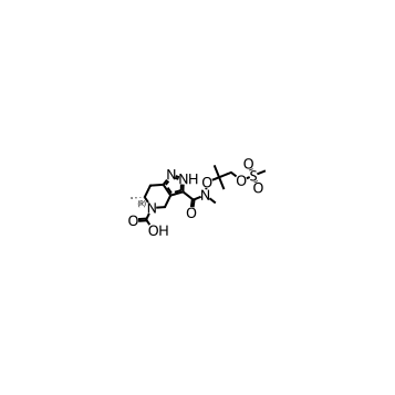 C[C@@H]1Cc2n[nH]c(C(=O)N(C)OC(C)(C)COS(C)(=O)=O)c2CN1C(=O)O